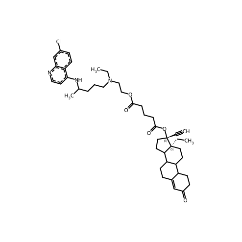 C#C[C@]1(OC(=O)CCCC(=O)OCCN(CC)CCCC(C)Nc2ccnc3cc(Cl)ccc23)CCC2C3CCC4=CC(=O)CCC4C3CC[C@@]21CC